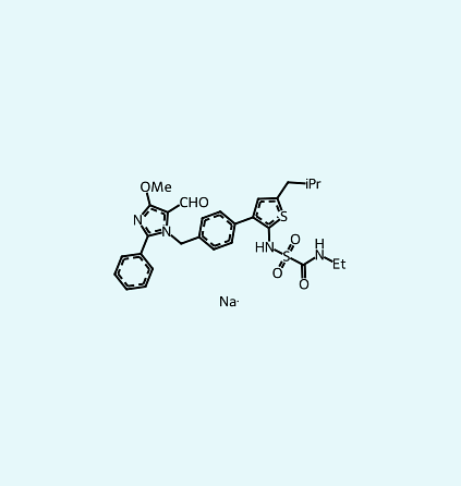 CCNC(=O)S(=O)(=O)Nc1sc(CC(C)C)cc1-c1ccc(Cn2c(-c3ccccc3)nc(OC)c2C=O)cc1.[Na]